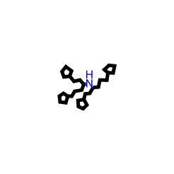 C1CCC(CCCC(CCC2CCCC2)NC(CCCC2CCCC2)CCC2CCCC2)C1